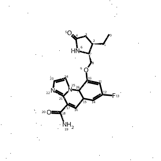 CC[C@@H]1CC(=O)N[C@@H]1COC1=CC(F)=CC2C=C(C(N)=O)c3nccn3C12